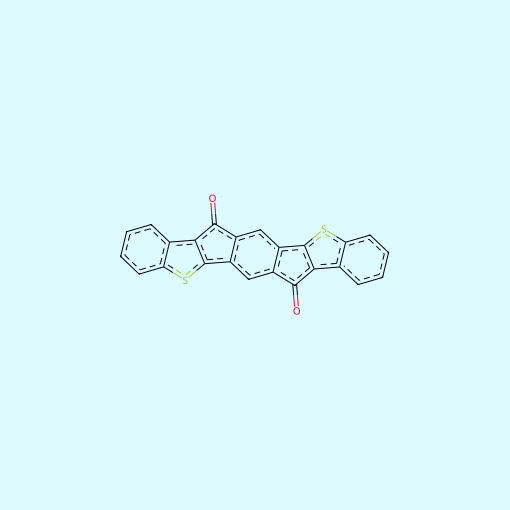 O=c1c2cc3c(cc2c2sc4ccccc4c12)c(=O)c1c2ccccc2sc31